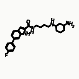 NC1CCCC(NCCCCNC(=O)c2cc3ccc(-c4ccc(F)cc4)cc3[nH]2)C1